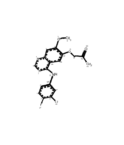 COc1cc2ncnc(Nc3ccc(F)c(Cl)c3)c2cc1OCC(C)=O